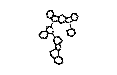 c1ccc(-n2c3ccccc3c3cc4c5ccccc5n(-c5nc(-c6ccc7oc8c9ccccc9ccc8c7c6)c6ccccc6n5)c4cc32)cc1